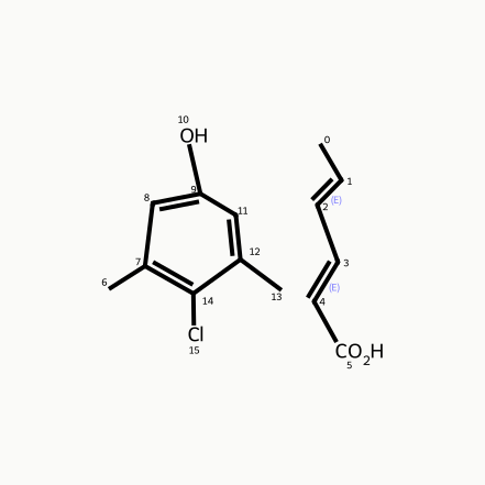 C/C=C/C=C/C(=O)O.Cc1cc(O)cc(C)c1Cl